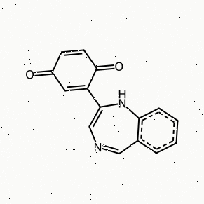 O=C1C=CC(=O)C(C2=CN=Cc3ccccc3N2)=C1